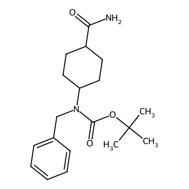 CC(C)(C)OC(=O)N(Cc1ccccc1)C1CCC(C(N)=O)CC1